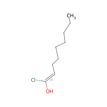 CCCCCCC/C=C(/O)Cl